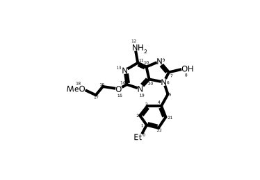 CCc1ccc(Cn2c(O)nc3c(N)nc(OCCOC)nc32)cc1